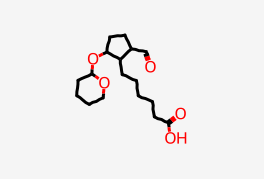 O=CC1CCC(OC2CCCCO2)C1CCCCCC(=O)O